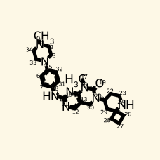 CN1CCN(c2ccc(Nc3ncc4c(n3)N(C)C(=O)N(C3CCNC5(CCC5)C3)C4)cc2)CC1